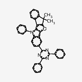 CC1(C)c2ccccc2-c2c1oc1c3cc(-c4nc(-c5ccccc5)nc(-c5ccccc5)n4)ccc3n(-c3ccccc3)c21